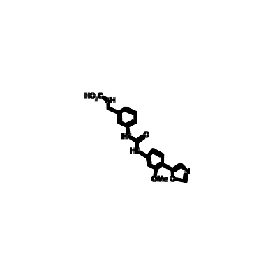 COc1cc(NC(=O)Nc2cccc(CNC(=O)O)c2)ccc1-c1cnco1